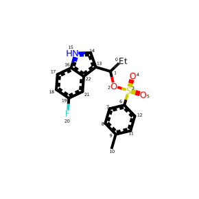 CCC(OS(=O)(=O)c1ccc(C)cc1)c1c[nH]c2ccc(F)cc12